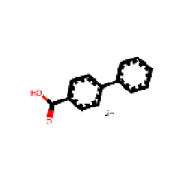 O=C(O)c1ccc(-c2ccccc2)cc1.[LiH]